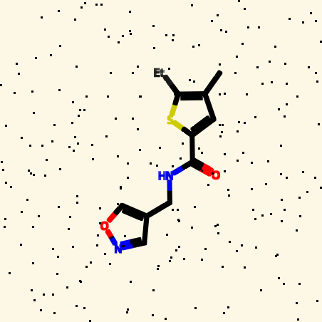 CCc1sc(C(=O)NCc2cnoc2)cc1C